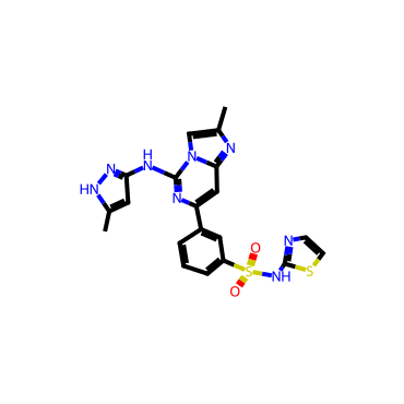 Cc1cn2c(Nc3cc(C)[nH]n3)nc(-c3cccc(S(=O)(=O)Nc4nccs4)c3)cc2n1